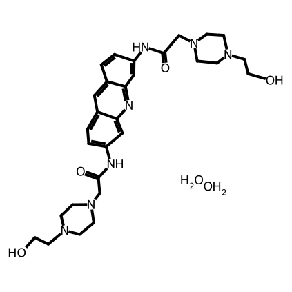 O.O.O=C(CN1CCN(CCO)CC1)Nc1ccc2cc3ccc(NC(=O)CN4CCN(CCO)CC4)cc3nc2c1